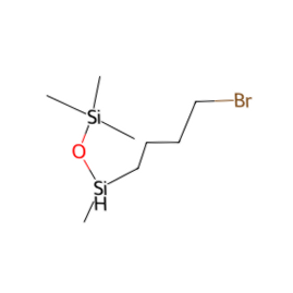 C[SiH](CCCCBr)O[Si](C)(C)C